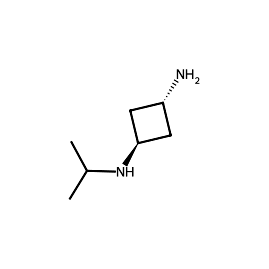 CC(C)N[C@H]1C[C@H](N)C1